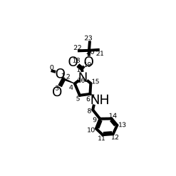 COC(=O)[C@@H]1C[C@@H](NCc2ccccc2)CN1C(=O)OC(C)(C)C